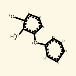 Cc1c([O])cccc1Oc1ccccc1